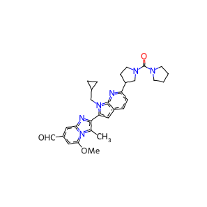 COc1cc(C=O)cc2nc(-c3cc4ccc(C5CCN(C(=O)N6CCCC6)C5)nc4n3CC3CC3)c(C)n12